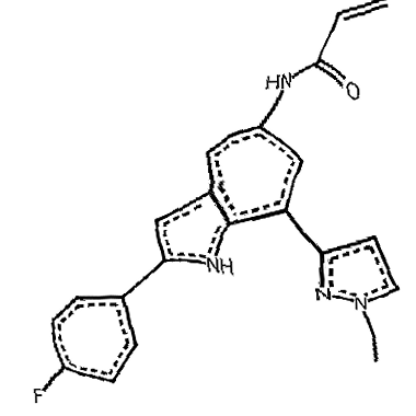 C=CC(=O)Nc1cc(-c2ccn(C)n2)c2[nH]c(-c3ccc(F)cc3)cc2c1